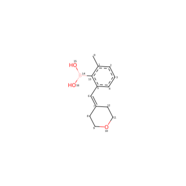 Cc1cccc(C=C2CCOCC2)c1B(O)O